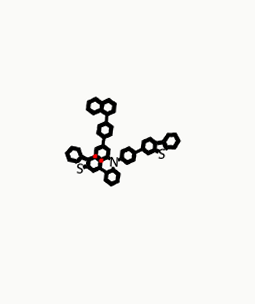 c1cc(-c2ccc(-c3cccc4ccccc34)cc2)cc(N(c2ccc(-c3ccc4c(c3)sc3ccccc34)cc2)c2ccccc2-c2ccc3c(c2)sc2ccccc23)c1